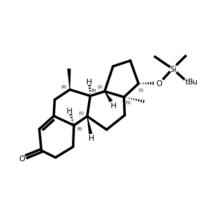 C[C@@H]1CC2=CC(=O)CC[C@@H]2[C@H]2CC[C@]3(C)[C@@H](O[Si](C)(C)C(C)(C)C)CC[C@H]3[C@@H]21